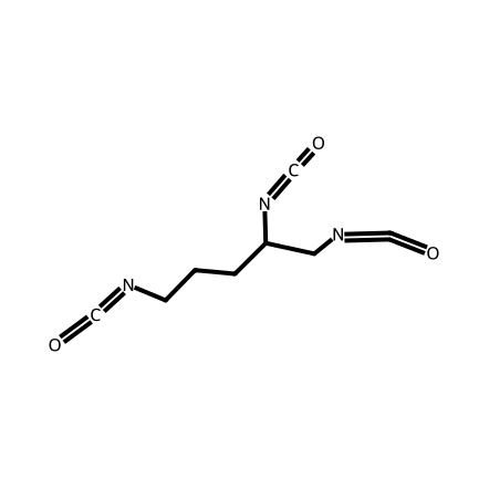 O=C=NCCCC(CN=C=O)N=C=O